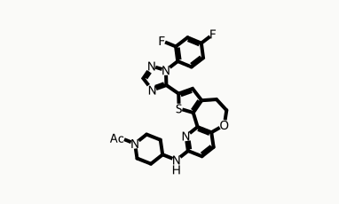 CC(=O)N1CCC(Nc2ccc3c(n2)-c2sc(-c4ncnn4-c4ccc(F)cc4F)cc2CCO3)CC1